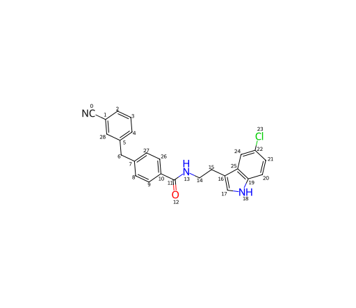 N#Cc1cccc(Cc2ccc(C(=O)NCCc3c[nH]c4ccc(Cl)cc34)cc2)c1